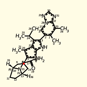 Cc1c(-c2[nH]c3sc([C@@H]4C[C@H]5CC[C@@H](C4)N5CC(N)=O)c(C)c3c2C(C)C)cn2ncnc2c1C